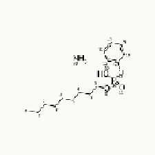 CCCCCCCCCOP(=O)(O)Oc1ccccc1.N